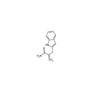 C=C(Cc1cc2ccccc2[nH]1)C(N)=O